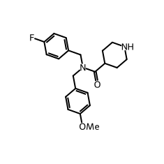 COc1ccc(CN(Cc2ccc(F)cc2)C(=O)C2CCNCC2)cc1